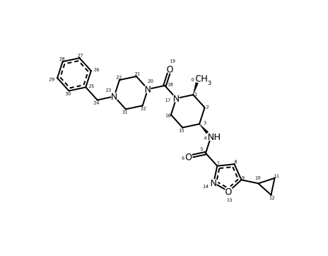 C[C@H]1C[C@@H](NC(=O)c2cc(C3CC3)on2)CCN1C(=O)N1CCN(Cc2ccccc2)CC1